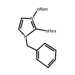 CCCCCCCCC[n+]1ccn(Cc2ccccc2)c1CCCCCC